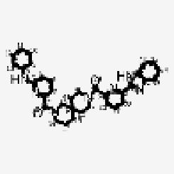 O=C(c1cccc(Nc2ccccc2)n1)N1CCCC2(CCN(C(=O)c3cccc(-c4nc5ccccc5[nH]4)n3)CC2)C1